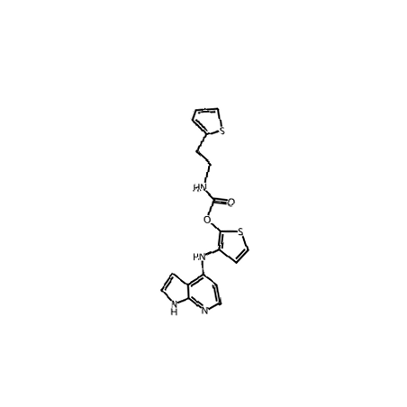 O=C(NCCc1cccs1)Oc1sccc1Nc1ccnc2[nH]ccc12